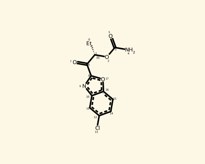 CC[C@H](OC(N)=O)C(=O)c1nc2cc(Cl)ccc2o1